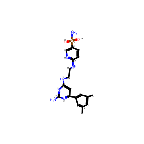 Cc1cc(C)cc(-c2cc(NCCNc3ccc(S(N)(=O)=O)cn3)nc(N)n2)c1